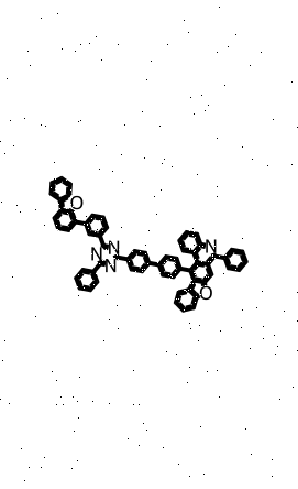 c1ccc(-c2nc(-c3ccc(-c4ccc(-c5c6c(cc7c(-c8ccccc8)nc8ccccc8c57)oc5ccccc56)cc4)cc3)nc(-c3cccc(-c4cccc5c4oc4ccccc45)c3)n2)cc1